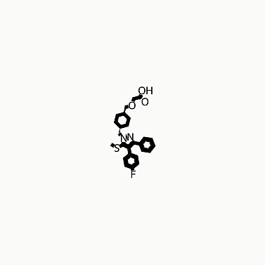 CSc1c(-c2ccc(F)cc2)c(-c2ccccc2)nn1C[C@H]1CC[C@H](COCC(=O)O)CC1